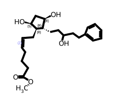 COC(=O)CCC/C=C\C[C@@H]1[C@@H](CCC(O)CCc2ccccc2)[C@H](O)C[C@@H]1O